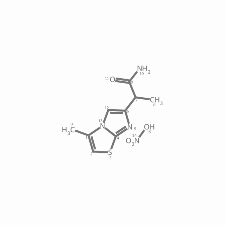 Cc1csc2nc(C(C)C(N)=O)cn12.O=[N+]([O-])O